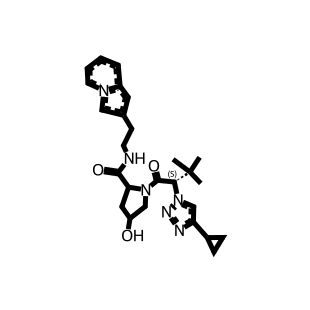 CC(C)(C)[C@@H](C(=O)N1CC(O)CC1C(=O)NCCc1cc2ccccn2c1)n1cc(C2CC2)nn1